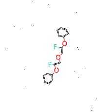 FC(=COC=C(F)Oc1ccccc1)Oc1ccccc1